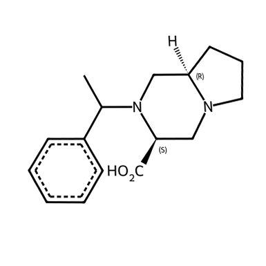 CC(c1ccccc1)N1C[C@H]2CCCN2C[C@H]1C(=O)O